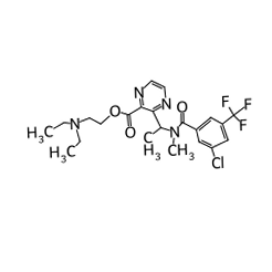 CCN(CC)CCOC(=O)c1nccnc1C(C)N(C)C(=O)c1cc(Cl)cc(C(F)(F)F)c1